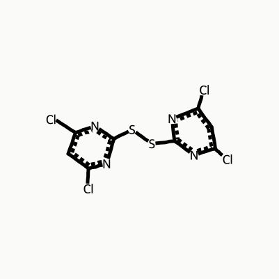 Clc1cc(Cl)nc(SSc2nc(Cl)cc(Cl)n2)n1